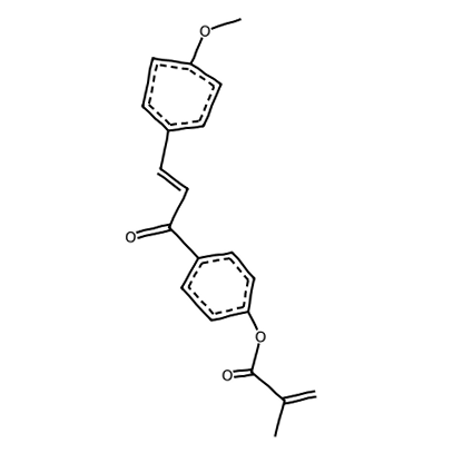 C=C(C)C(=O)Oc1ccc(C(=O)/C=C/c2ccc(OC)cc2)cc1